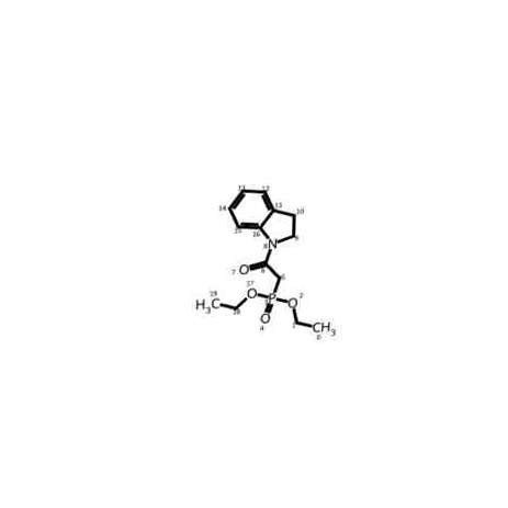 CCOP(=O)(CC(=O)N1CCc2ccccc21)OCC